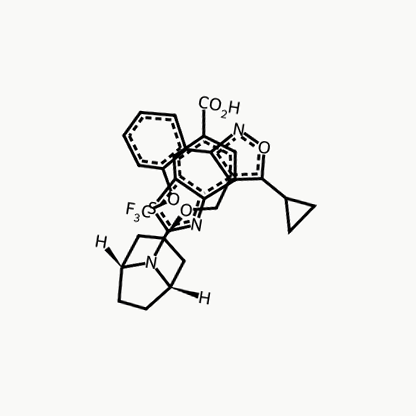 O=C(O)c1ccc2nc(N3[C@@H]4CC[C@H]3C[C@H](OCc3c(-c5ccccc5OC(F)(F)F)noc3C3CC3)C4)sc2c1